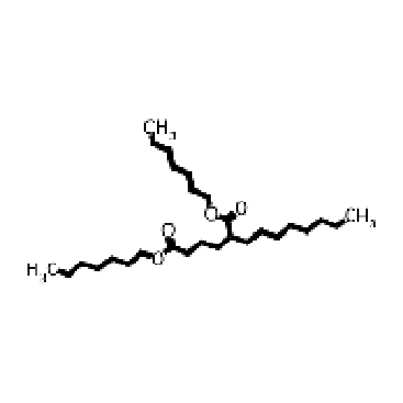 CCCCCCCCC(CCCC(=O)OCCCCCCC)C(=O)OCCCCCCC